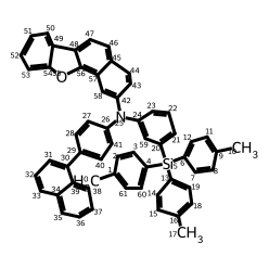 Cc1ccc([Si](c2ccc(C)cc2)(c2ccc(C)cc2)c2cccc(N(c3ccc(-c4cccc5ccccc45)cc3)c3ccc4ccc5c6ccccc6oc5c4c3)c2)cc1